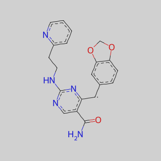 NC(=O)c1cnc(NCCc2ccccn2)nc1[CH]c1ccc2c(c1)OCO2